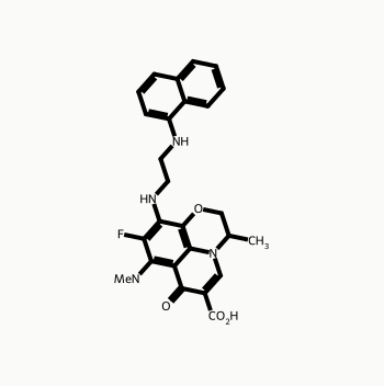 CNc1c(F)c(NCCNc2cccc3ccccc23)c2c3c1c(=O)c(C(=O)O)cn3C(C)CO2